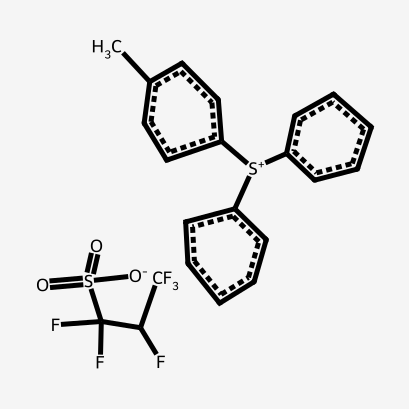 Cc1ccc([S+](c2ccccc2)c2ccccc2)cc1.O=S(=O)([O-])C(F)(F)C(F)C(F)(F)F